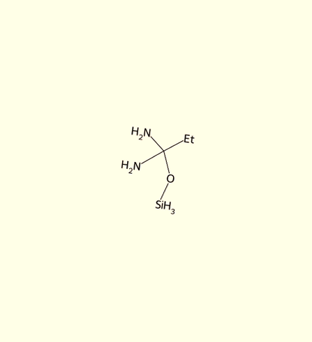 CCC(N)(N)O[SiH3]